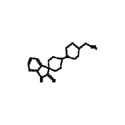 NCC1CCN(C2CCC3(CC2)C(=O)Nc2ccccc23)CC1